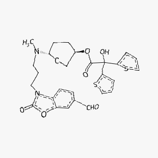 CN(CCCn1c(=O)oc2cc(C=O)ccc21)[C@H]1CC[C@H](OC(=O)C(O)(c2cccs2)c2cccs2)CC1